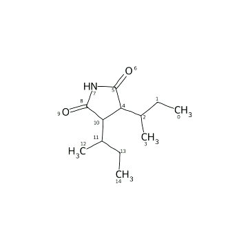 CCC(C)C1C(=O)NC(=O)C1C(C)CC